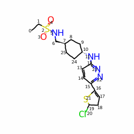 CCS(=O)(=O)NC[C@H]1CC[C@H](Nc2ccc(C3=CCC(Cl)S3)nn2)CC1